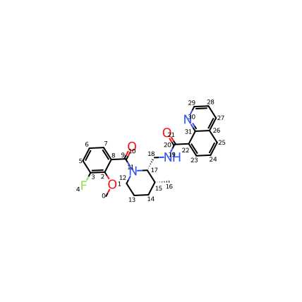 COc1c(F)cccc1C(=O)N1CCC[C@@H](C)[C@H]1CNC(=O)c1cccc2cccnc12